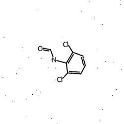 O=C[N]c1c(Cl)cccc1Cl